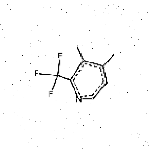 Cc1ccnc(C(F)(F)F)c1C